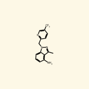 Cc1nn(Cc2ccc(C(F)(F)F)cn2)c2cccc(N)c12